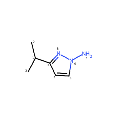 CC(C)c1ccn(N)n1